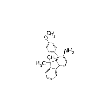 COc1ccc(-c2c(N)ccc3c2C(C)(C)c2ccccc2-3)cc1